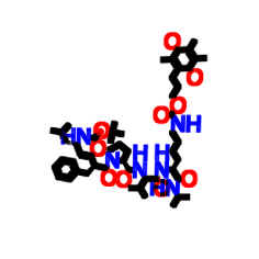 CC1=C(C)C(=O)C(CCCOC(=O)NCCCC[C@H](NC(=O)[C@@H](NC(=O)[C@@H]2CCCN2C(=O)[C@H](/C=C/[C@H](CC(C)C)NC(=O)OC(C)(C)C)Cc2ccccc2)C(C)C)C(=O)NC(C)C)=C(C)C1=O